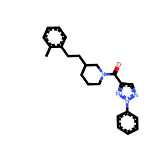 Cc1ccccc1CCC1CCCN(C(=O)c2cnn(-c3ccccc3)n2)C1